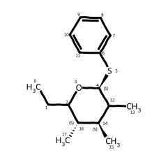 CCC1O[C@@H](Sc2ccccc2)C(C)[C@@H](C)[C@@H]1C